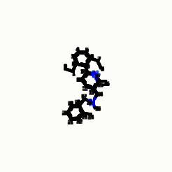 CCc1cccc(CC)c1-c1ccc(CN(C)Cc2ccccc2C)c(C)n1